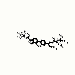 CCC(CCNC(=O)OC(C)(C)C)c1ccc(-c2ccc3c(cnn3C(=O)OC(C)(C)C)c2N)cc1